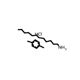 CCCCCCCCCCCCN.Cc1ccc(C)cc1.Cl